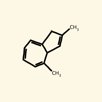 CC1=CC2C(C)=CC=CC=C2[C]1